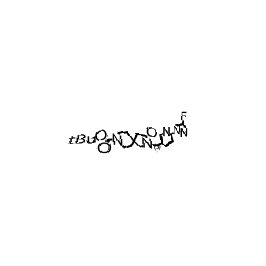 C[C@@H](c1ccc(-n2cc(F)cn2)nc1)N1CC2(CCN(C(=O)OC(C)(C)C)CC2)CC1=O